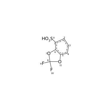 O=S(=O)(O)c1cccc2c1OC(F)(F)O2